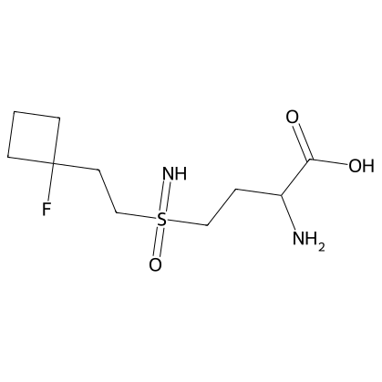 N=S(=O)(CCC(N)C(=O)O)CCC1(F)CCC1